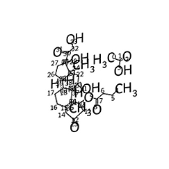 CC(=O)O.CCCC(=O)OC1CC(=O)C=C2CC[C@@H]3[C@H]([C@@H](O)C[C@@]4(C)[C@H]3CC[C@]4(O)C(=O)CO)[C@]21C